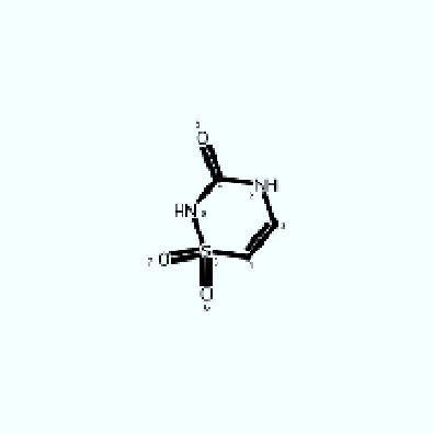 O=C1NC=CS(=O)(=O)N1